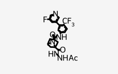 CC(=O)NNC(=O)C12CC(C)CC(C1)N2C(=O)Nc1ccc(C(F)(F)F)c(-c2cncc(F)c2)c1